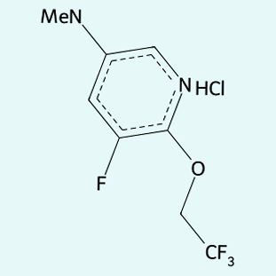 CNc1cnc(OCC(F)(F)F)c(F)c1.Cl